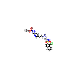 CN(CCCc1ccc(CNC(=O)OC(C)(C)C)nc1)CCNS(=O)(=O)c1ccc2ccccc2c1Cl